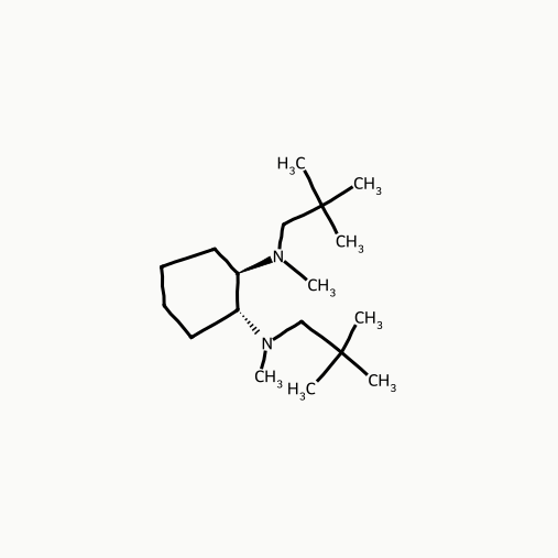 CN(CC(C)(C)C)[C@@H]1CCCC[C@H]1N(C)CC(C)(C)C